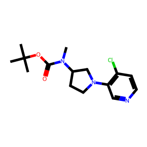 CN(C(=O)OC(C)(C)C)C1CCN(c2cnccc2Cl)C1